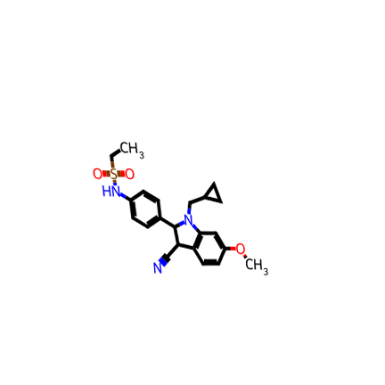 CCS(=O)(=O)Nc1ccc(C2C(C#N)c3ccc(OC)cc3N2CC2CC2)cc1